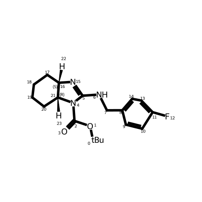 CC(C)(C)OC(=O)N1C(NCc2ccc(F)cc2)=N[C@H]2CCCC[C@H]21